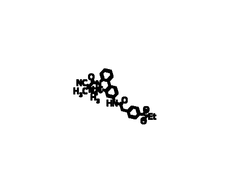 CCS(=O)(=O)c1ccc(CC(=O)Nc2ccc(-c3ccccc3NC(=O)C(C)(C)C#N)c(C)c2)cc1